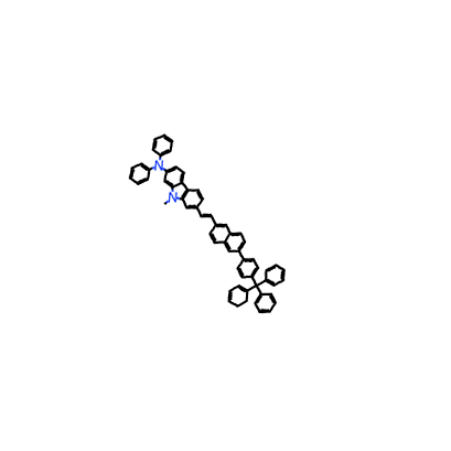 Cn1c2cc(/C=C/c3ccc4cc(-c5ccc(C(C6=CC=CCC6)(c6ccccc6)c6ccccc6)cc5)ccc4c3)ccc2c2ccc(N(c3ccccc3)c3ccccc3)cc21